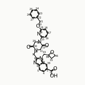 O=C(O)c1ccc2nc(CN3CC(=O)N(c4cccc(OCc5ccccc5)n4)CC3=O)n(C[C@@H]3CCO3)c2c1